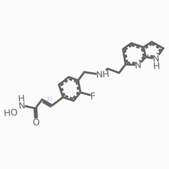 O=C(/C=C/c1ccc(CNCCc2ccc3cc[nH]c3n2)c(F)c1)NO